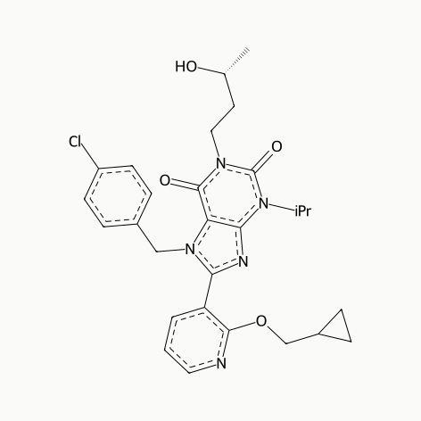 CC(C)n1c(=O)n(CC[C@@H](C)O)c(=O)c2c1nc(-c1cccnc1OCC1CC1)n2Cc1ccc(Cl)cc1